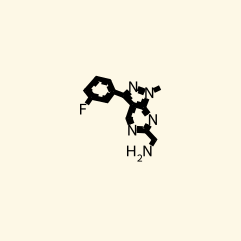 Cn1nc(-c2cccc(F)c2)c2cnc(CN)nc21